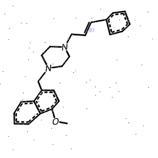 COc1ccc(CN2CCN(C/C=C/c3ccccc3)CC2)c2ccccc12